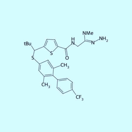 CN/C(CNC(=O)c1ccc(C(Sc2cc(C)c(-c3ccc(C(F)(F)F)cc3)c(C)c2)C(C)(C)C)s1)=N\N